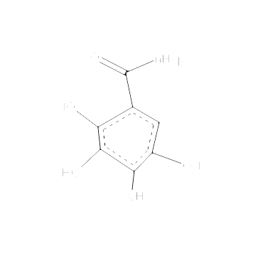 CCCCCCCC(=O)c1cc(O)c(C)c(O)c1O